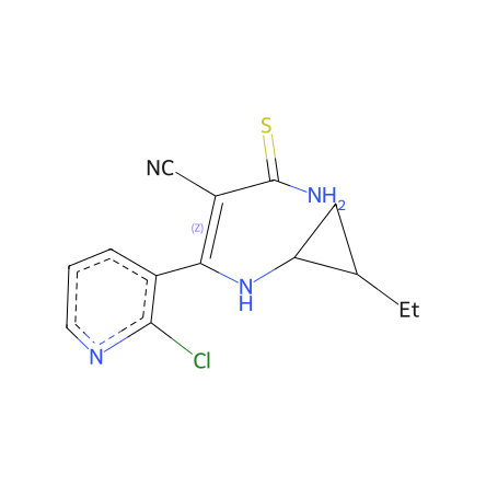 CCC1CC1N/C(=C(/C#N)C(N)=S)c1cccnc1Cl